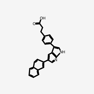 O=C(O)CCc1ccc(-c2c[nH]c3ncc(-c4ccc5ccccc5c4)cc23)cc1